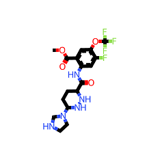 COC(=O)c1cc(OC(F)(F)F)c(F)cc1NC(=O)C1CCC(N2CCNC2)NN1